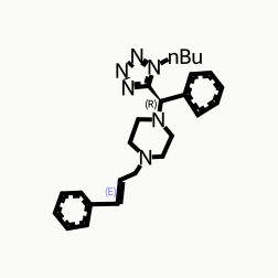 CCCCn1nnnc1[C@@H](c1ccccc1)N1CCN(C/C=C/c2ccccc2)CC1